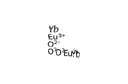 [Eu+3].[Eu+3].[O-2].[O-2].[O-2].[Yb].[Yb]